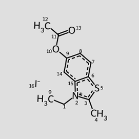 CC[n+]1c(C)sc2ccc(OC(C)=O)cc21.[I-]